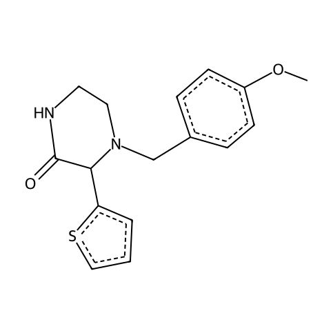 COc1ccc(CN2CCNC(=O)C2c2cccs2)cc1